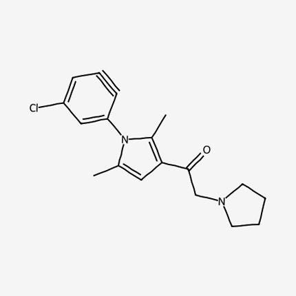 Cc1cc(C(=O)CN2CCCC2)c(C)n1-c1c#ccc(Cl)c1